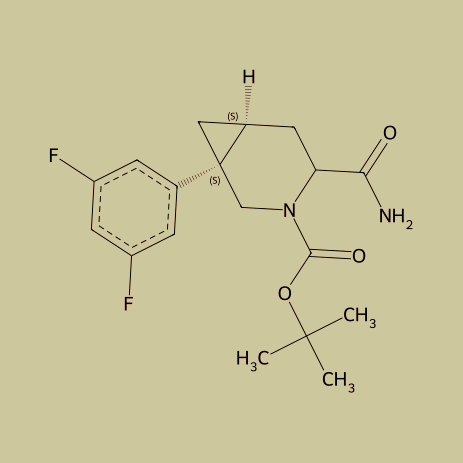 CC(C)(C)OC(=O)N1C[C@@]2(c3cc(F)cc(F)c3)C[C@H]2CC1C(N)=O